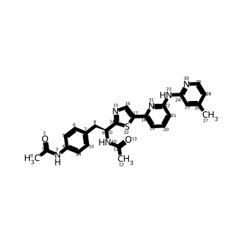 CC(=O)Nc1ccc(C[C@H](NC(C)=O)c2ncc(-c3cccc(Nc4cc(C)ccn4)n3)s2)cc1